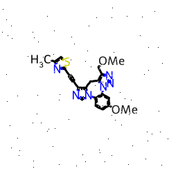 COCc1nnn2c1Cc1c(C#Cc3nc(C)cs3)ncn1-c1ccc(OC)cc1-2